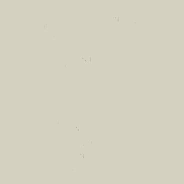 O=C1CCC(N2Cc3ccc(COC(=O)Nc4cc(OCCN5CCOCC5)cc(OC(F)(F)F)c4)cc3C2=O)C(=O)N1